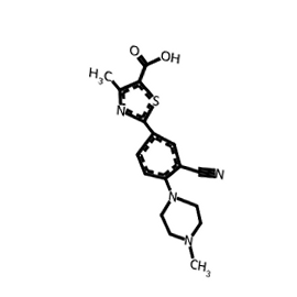 Cc1nc(-c2ccc(N3CCN(C)CC3)c(C#N)c2)sc1C(=O)O